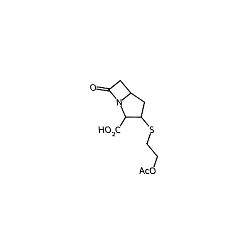 CC(=O)OCCSC1CC2CC(=O)N2C1C(=O)O